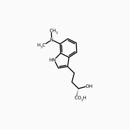 CN(C)c1cccc2c(CC[C@H](O)C(=O)O)c[nH]c12